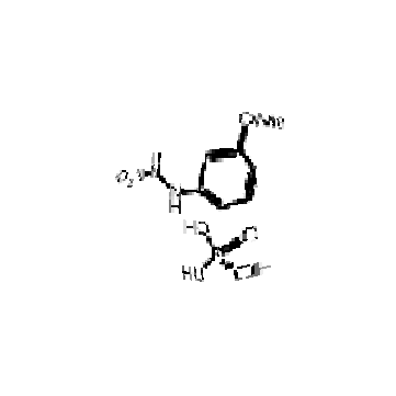 COc1cccc(NN[N+](=O)[O-])c1.O=P(O)(O)O